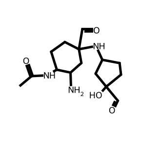 CC(=O)NC1CCC(C=O)(NC2CCC(O)(C=O)C2)CC1N